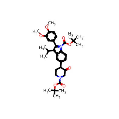 COc1ccc(-c2c(C(C)C)c3cc(C4CCN(C(=O)OC(C)(C)C)CC4=O)ccc3n2C(=O)OC(C)(C)C)cc1OC